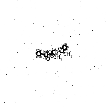 CC(CC(=O)N1CCC(O)(Cn2cnc(-c3ccccc3)cc2=O)C(C)(C)C1)c1ccccc1